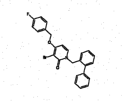 O=c1c(Br)c(OCc2ccc(F)cc2)ccn1Cc1ccccc1-c1ccccc1